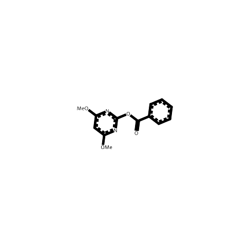 COc1cc(OC)nc(OC(=O)c2ccccc2)n1